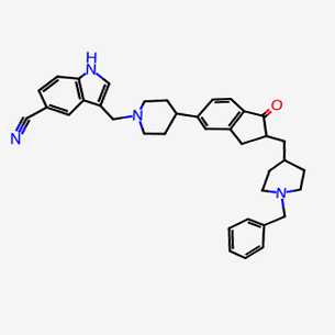 N#Cc1ccc2[nH]cc(CN3CCC(c4ccc5c(c4)CC(CC4CCN(Cc6ccccc6)CC4)C5=O)CC3)c2c1